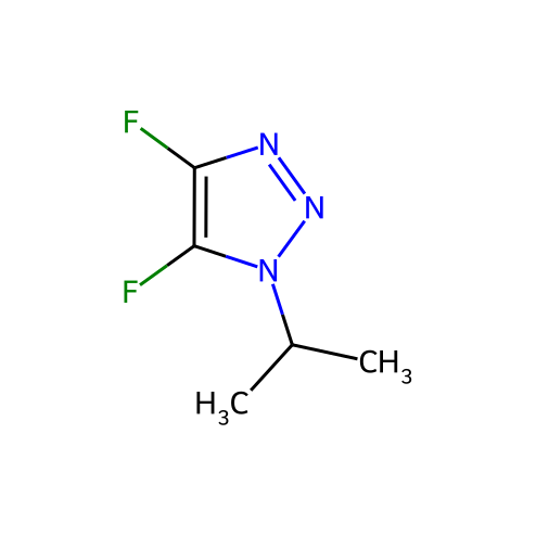 CC(C)n1nnc(F)c1F